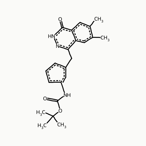 Cc1cc2c(Cc3cccc(NC(=O)OC(C)(C)C)c3)n[nH]c(=O)c2cc1C